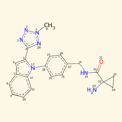 Cn1nnc(-c2cc3ccccc3n2-c2ccc(CNC(=O)C3(N)CC3)cc2)n1